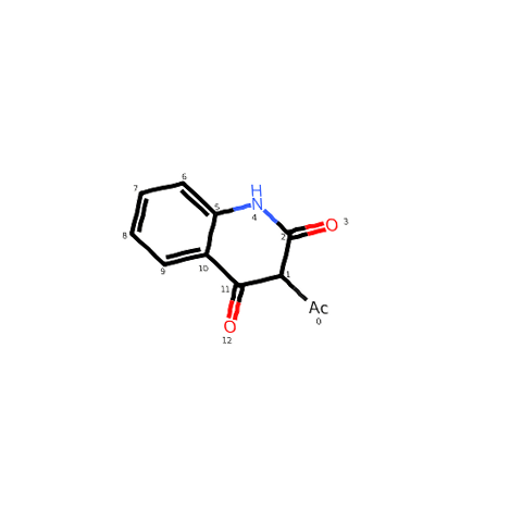 CC(=O)C1C(=O)Nc2ccccc2C1=O